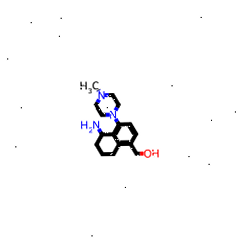 CN1CCN(c2ccc(CO)c3c2C(N)CCC3)CC1